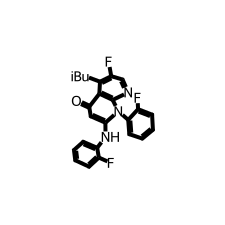 CCC(C)c1c(F)cnc2c1c(=O)cc(Nc1ccccc1F)n2-c1ccccc1F